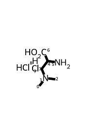 CN(C)CC(N)C(=O)O.Cl.Cl